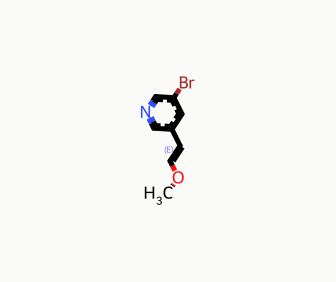 CO/C=C/c1cncc(Br)c1